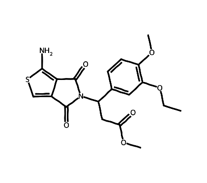 CCOc1cc(C(CC(=O)OC)N2C(=O)c3csc(N)c3C2=O)ccc1OC